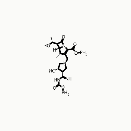 C[C@@H](O)C1C(=O)N2C(C(=O)OP)=C(CN3C[C@@H](O)[C@H](C(=N)NC(=O)OP)C3)[C@H](C)[C@H]12